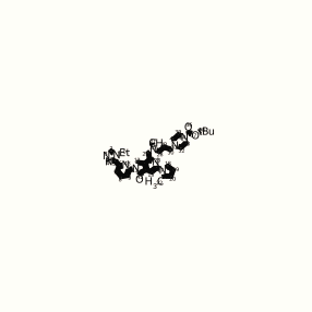 CCn1cnnc1-c1cccc(N2Cc3c(cc(N4CCC[C@H]4C)nc3CN(C)CCCN3CCN(C(=O)OC(C)(C)C)CC3)C2=O)n1